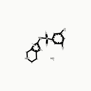 Cl.O=S(=O)(Nc1nc2c(s1)CNCC2)c1cc(Cl)cc(Cl)c1